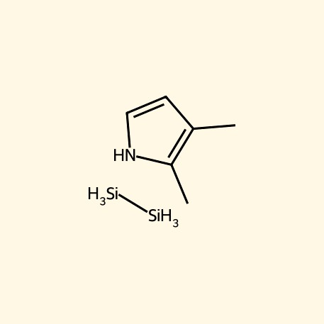 Cc1cc[nH]c1C.[SiH3][SiH3]